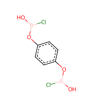 OB(Cl)Oc1ccc(OB(O)Cl)cc1